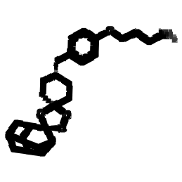 NCCCOc1ccc(C[C@H]2CC[C@]3(CC2)OO[C@]2(O3)C3CC4CC(C3)CC2C4)cc1